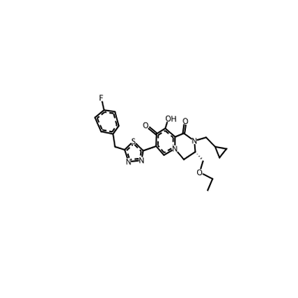 CCOC[C@@H]1Cn2cc(-c3nnc(Cc4ccc(F)cc4)s3)c(=O)c(O)c2C(=O)N1CC1CC1